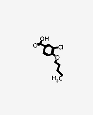 CCCCCOc1ccc(C(=O)O)cc1Cl